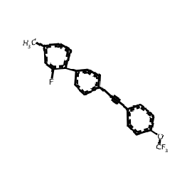 Cc1ccc(-c2ccc(C#Cc3ccc(OC(F)(F)F)cc3)cc2)c(F)c1